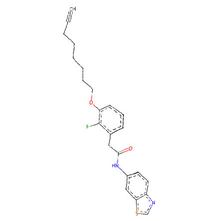 C#CCCCCCCOc1cccc(CC(=O)Nc2ccc3ncsc3c2)c1F